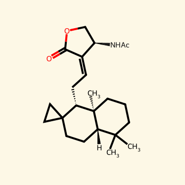 CC(=O)N[C@@H]1COC(=O)/C1=C\C[C@H]1C2(CC[C@H]3C(C)(C)CCC[C@@]31C)CC2